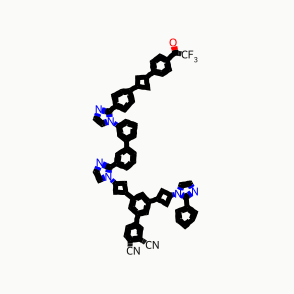 N#Cc1ccc(-c2cc(C3CC(n4ccnc4-c4ccccc4)C3)cc(C3CC(n4ccnc4-c4cccc(-c5cccc(-n6ccnc6-c6ccc(C7CC(c8ccc(C(=O)C(F)(F)F)cc8)C7)cc6)c5)c4)C3)c2)cc1C#N